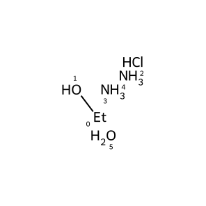 CCO.Cl.N.N.O